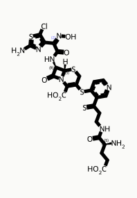 Nc1nc(/C(=N/O)C(=O)N[C@@H]2C(=O)N3C(C(=O)O)=C(Sc4ccncc4C(=S)CCNC(=O)[C@@H](N)CCC(=O)O)CS[C@@H]23)c(Cl)s1